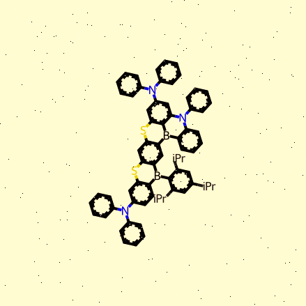 CC(C)c1cc(C(C)C)c(B2c3ccc(N(c4ccccc4)c4ccccc4)cc3Sc3cc4c(cc32)B2c3ccccc3N(c3ccccc3)c3cc(N(c5ccccc5)c5ccccc5)cc(c32)S4)c(C(C)C)c1